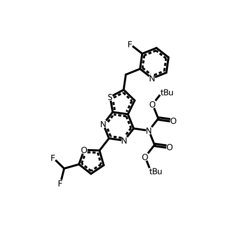 CC(C)(C)OC(=O)N(C(=O)OC(C)(C)C)c1nc(-c2ccc(C(F)F)o2)nc2sc(Cc3ncccc3F)cc12